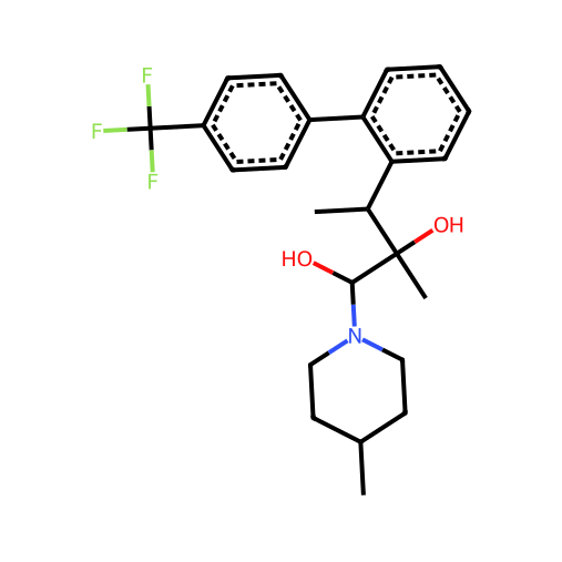 CC1CCN(C(O)C(C)(O)C(C)c2ccccc2-c2ccc(C(F)(F)F)cc2)CC1